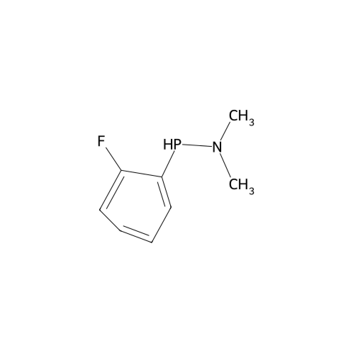 CN(C)Pc1ccccc1F